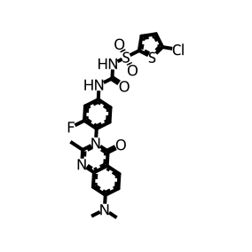 Cc1nc2cc(N(C)C)ccc2c(=O)n1-c1ccc(NC(=O)NS(=O)(=O)c2ccc(Cl)s2)cc1F